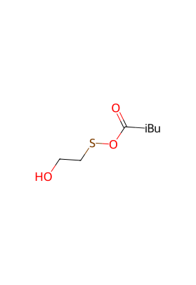 CCC(C)C(=O)OSCCO